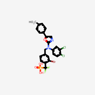 O=C(O)c1ccc(-c2cnc(N(Cc3ccc(C(F)(F)P(=O)(O)O)c(Br)c3)c3ccc(Cl)c(Cl)c3)o2)cc1